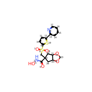 O=C(NO)C1(CS(=O)(=O)c2ccc(-c3ccccn3)s2)CC2OCOC2C1